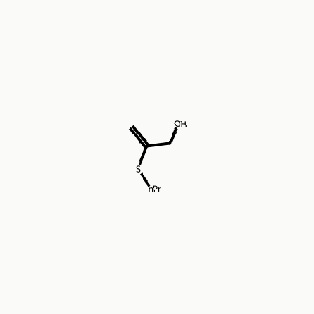 C=C(CO)SCCC